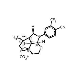 C[C@@]12C[C@@H](C(=O)O)[C@]3(CCO[C@H]4[C@@H]3[C@@H]1C(=O)N4c1ccc(C#N)c(C(F)(F)F)c1)O2